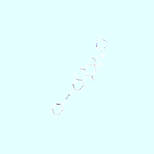 CC[C@@]1(C(=O)Nc2cccnc2)CC(=O)N(c2c(F)cc(C#Cc3ccccc3)cc2F)C(=O)N1